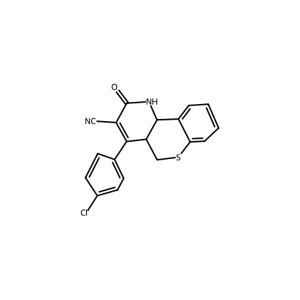 N#CC1=C(c2ccc(Cl)cc2)C2CSc3ccccc3C2NC1=O